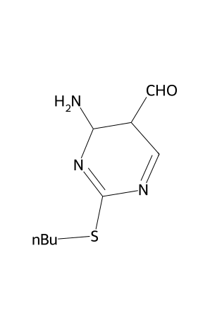 CCCCSC1=NC(N)C(C=O)C=N1